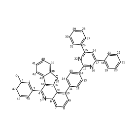 CC1C=C(c2nc3cccc(-c4ccc(-c5nc(-c6ccccc6)cc(-c6ccccc6)n5)cc4)c3c3sc4ccccc4c23)C=CC1